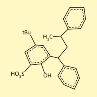 CC(CC(c1ccccc1)c1cc(C(C)(C)C)cc(S(=O)(=O)O)c1O)c1ccccc1